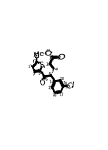 COC(=O)CC[C@@H](C(=O)c1ccc(Cl)s1)c1cccc(Cl)c1